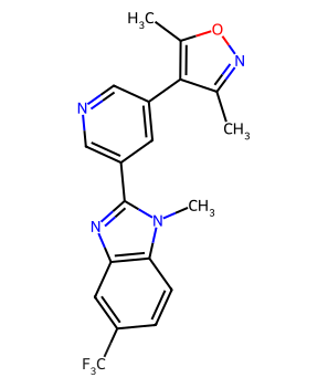 Cc1noc(C)c1-c1cncc(-c2nc3cc(C(F)(F)F)ccc3n2C)c1